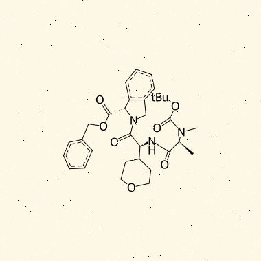 C[C@@H](C(=O)N[C@H](C(=O)N1Cc2ccccc2[C@H]1C(=O)OCc1ccccc1)C1CCOCC1)N(C)C(=O)OC(C)(C)C